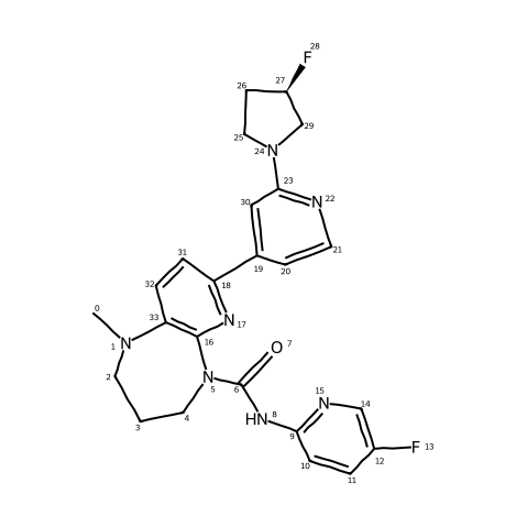 CN1CCCN(C(=O)Nc2ccc(F)cn2)c2nc(-c3ccnc(N4CC[C@@H](F)C4)c3)ccc21